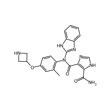 Cc1cc(OC2CNC2)ccc1N(C(=O)c1nc[nH]c1C(N)=O)c1nc2ccccc2[nH]1